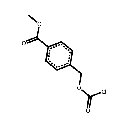 COC(=O)c1ccc(COC(=O)Cl)cc1